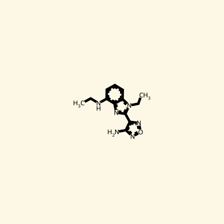 CCNc1cccc2c1nc(-c1nonc1N)n2CC